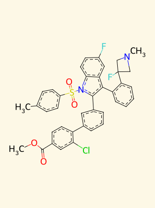 COC(=O)c1ccc(-c2cccc(-c3c(-c4ccccc4C4(F)CN(C)C4)c4cc(F)ccc4n3S(=O)(=O)c3ccc(C)cc3)c2)c(Cl)c1